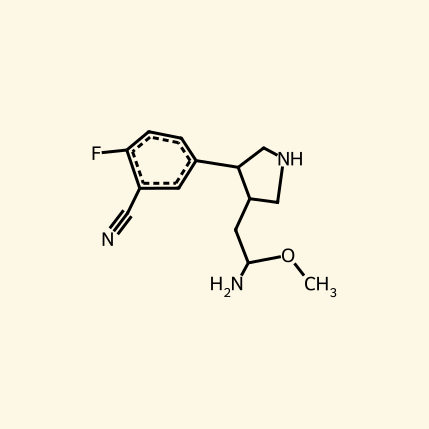 COC(N)CC1CNCC1c1ccc(F)c(C#N)c1